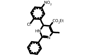 CCOC(=O)C1=C(C)N=C(c2ccccc2)NC1c1cc([N+](=O)[O-])ccc1Cl